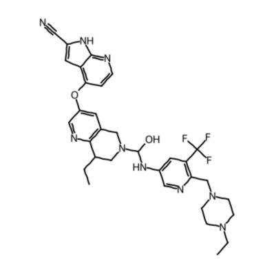 CCC1CN(C(O)Nc2cnc(CN3CCN(CC)CC3)c(C(F)(F)F)c2)Cc2cc(Oc3ccnc4[nH]c(C#N)cc34)cnc21